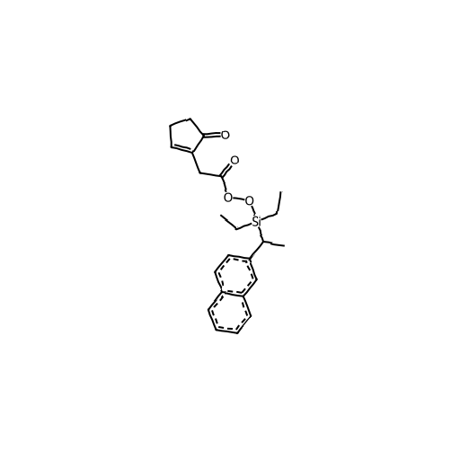 CC[Si](CC)(OOC(=O)CC1=CCCC1=O)C(C)c1ccc2ccccc2c1